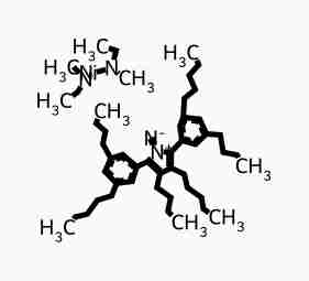 CCCCCC1=C(c2cc(CCCC)cc(CCCCC)c2)[N+](=[N-])C(c2cc(CCCC)cc(CCCCC)c2)=C1CCCC.CC[N](C)[Ni][N](C)CC